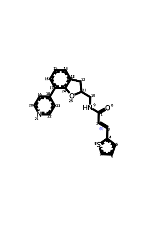 O=C(/C=C/c1cccs1)NCC1Cc2cccc(-c3ccncc3)c2O1